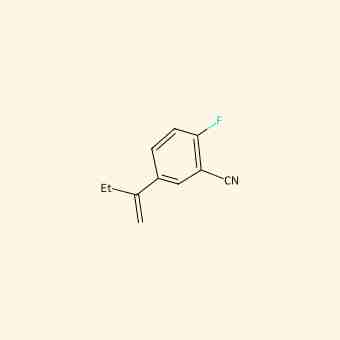 C=C(CC)c1ccc(F)c(C#N)c1